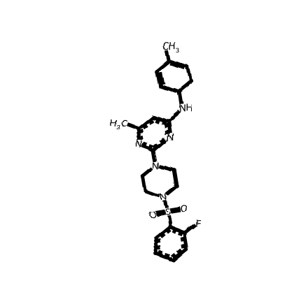 CC1=CCC(Nc2cc(C)nc(N3CCN(S(=O)(=O)c4ccccc4F)CC3)n2)C=C1